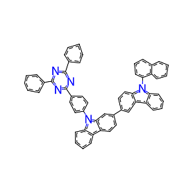 c1ccc(-c2nc(-c3ccccc3)nc(-c3ccc(-n4c5ccccc5c5ccc(-c6ccc7c(c6)c6ccccc6n7-c6cccc7ccccc67)cc54)cc3)n2)cc1